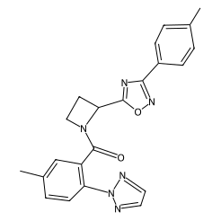 Cc1ccc(-c2noc(C3CCN3C(=O)c3cc(C)ccc3-n3nccn3)n2)cc1